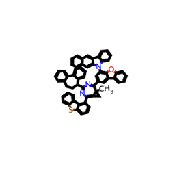 CC12CC1=C(c1cccc3sc4ccccc4c13)N=C(C1CCc3ccccc3-c3ccccc31)N=C2c1cc(-n2c3ccccc3c3cc4ccccc4cc32)c2oc3ccccc3c2c1